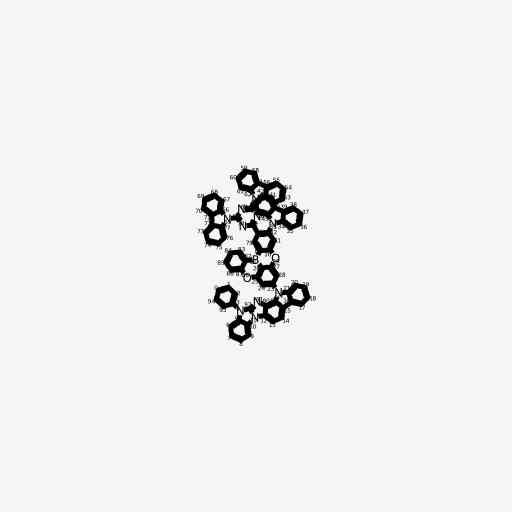 c1ccc(-n2c3ccccc3n3c4ccc5c6ccccc6n(-c6cc7c8c(c6)Oc6cc(-n9c%10ccccc%10c%10ccccc%109)c(-c9nc(-n%10c%11ccccc%11c%11ccccc%11%10)nc(-n%10c%11ccccc%11c%11ccccc%11%10)n9)cc6B8c6ccccc6O7)c5c4nc23)cc1